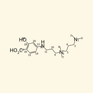 CN(C)CCC[N+](C)(C)CCCNc1ccc(C(=O)O)c(O)c1